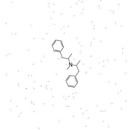 CC(Cc1ccccc1)N(C)C(C)Cc1ccccc1